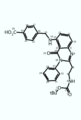 CC(C)(C)OC(=O)NCCc1nc2cccc(NCc3ccc(C(=O)O)cc3)c2c(=O)n1-c1ccccc1